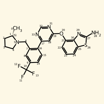 C[C@H]1CCCN1Cc1cc(C(F)(F)F)ccc1-c1cc(Oc2cccc3sc(N)nc23)ncn1